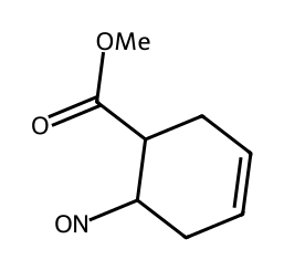 COC(=O)C1CC=CCC1N=O